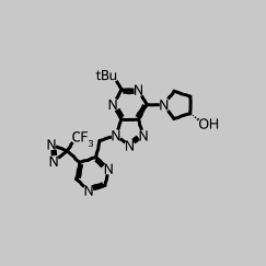 CC(C)(C)c1nc(N2CC[C@H](O)C2)c2nnn(Cc3ncncc3C3(C(F)(F)F)N=N3)c2n1